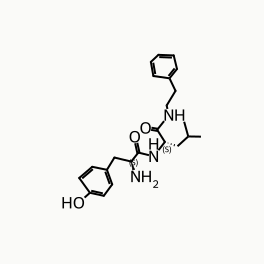 CC(C)C[C@H](NC(=O)[C@@H](N)Cc1ccc(O)cc1)C(=O)NCCc1ccccc1